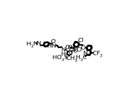 CS(=O)(=O)O.Cc1cc(C(F)(F)F)c2cccc(OCc3c(Cl)ccc(S(=O)(=O)N4CCC[C@H]4C(=O)NCCCNC(=O)c4ccc(C=NN)cc4)c3Cl)c2n1